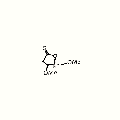 COC[C@H]1OC(=O)CC1OC